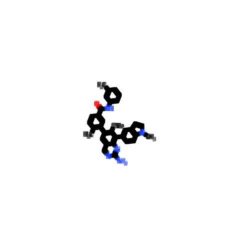 COc1c(-c2cc(C(=O)Nc3cccc(C(F)(F)F)c3)ccc2C)cc2cnc(N)nc2c1-c1ccc2c(ccn2C)c1